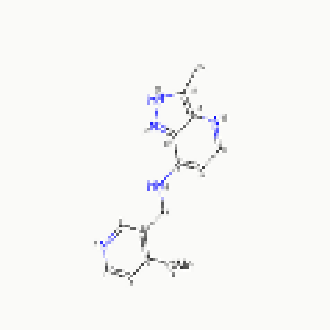 COc1ccncc1CNc1ccnc2c(C)[nH]nc12